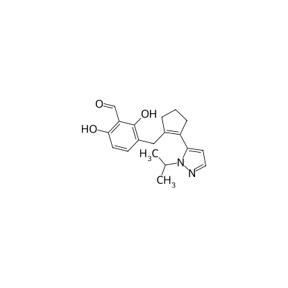 CC(C)n1nccc1C1=C(Cc2ccc(O)c(C=O)c2O)CCC1